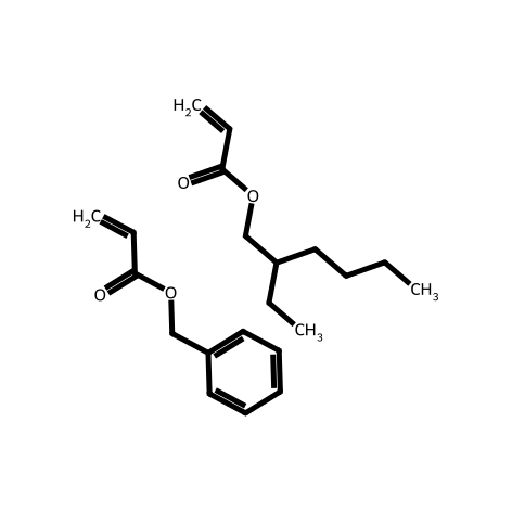 C=CC(=O)OCC(CC)CCCC.C=CC(=O)OCc1ccccc1